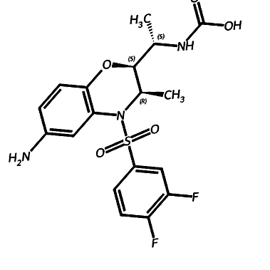 C[C@H](NC(=O)O)[C@@H]1Oc2ccc(N)cc2N(S(=O)(=O)c2ccc(F)c(F)c2)[C@@H]1C